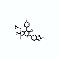 Cn1cc2cc(-n3nc4[nH]c(=O)n(CC5CC5)c4c(-c4ccc(Cl)cc4)c3=O)ccc2n1